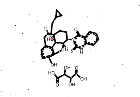 O=C(O)C(O)C(O)C(=O)O.O=c1c2ccccc2[nH]c(=S)n1[C@@H]1CC[C@@]2(O)[C@H]3Cc4ccc(O)c5c4[C@@]2(CCN3CC2CC2)[C@H]1O5